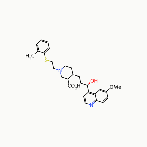 COc1ccc2nccc([C@H](O)CC[C@@H]3CCN(CCSc4ccccc4C)C[C@@H]3C(=O)O)c2c1